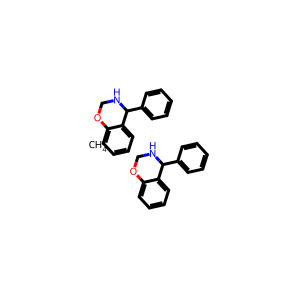 C.c1ccc(C2NCOc3ccccc32)cc1.c1ccc(C2NCOc3ccccc32)cc1